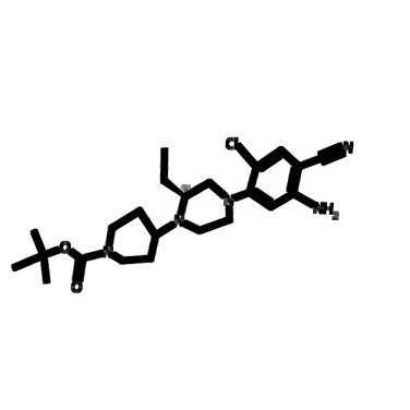 CC[C@H]1CN(c2cc(N)c(C#N)cc2Cl)CCN1C1CCN(C(=O)OC(C)(C)C)CC1